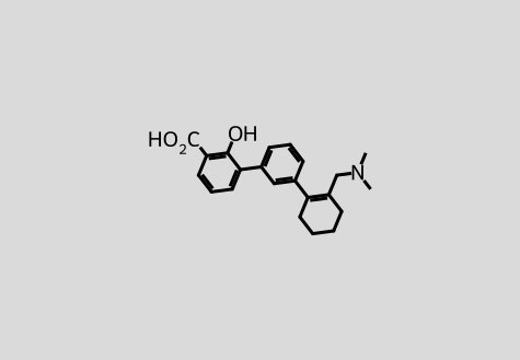 CN(C)CC1=C(c2cccc(-c3cccc(C(=O)O)c3O)c2)CCCC1